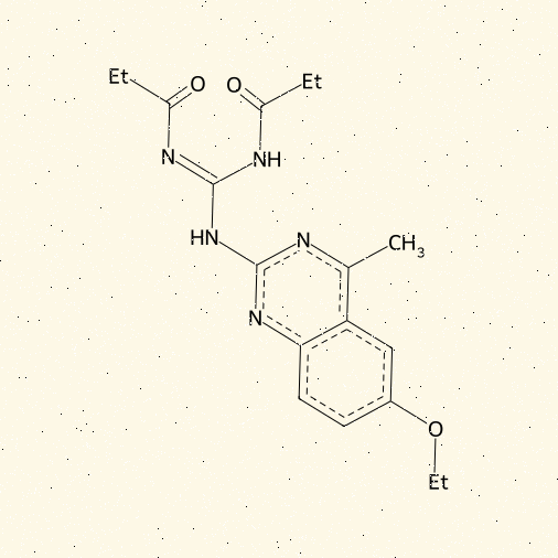 CCOc1ccc2nc(N/C(=N/C(=O)CC)NC(=O)CC)nc(C)c2c1